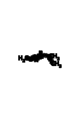 C=CCOc1ccc2nc(-c3ccc(C=CCCCC(C)OCCCCC)c(F)c3)cnc2c1